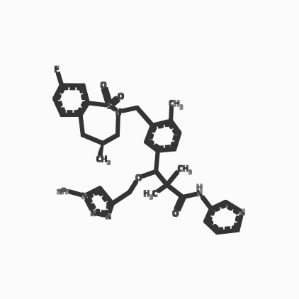 CCCn1cc(COC(c2ccc(C)c(CN3C[C@@H](C)Cc4ccc(F)cc4S3(=O)=O)c2)C(C)(C)C(=O)Nc2cccnc2)nn1